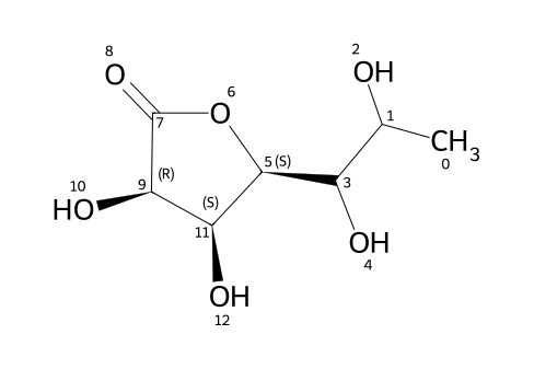 CC(O)C(O)[C@@H]1OC(=O)[C@H](O)[C@@H]1O